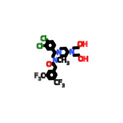 CN(CC(c1ccc(Cl)c(Cl)c1)N1CCC(N(CCO)CCO)CC1)C(=O)Cc1cc(C(F)(F)F)cc(C(F)(F)F)c1